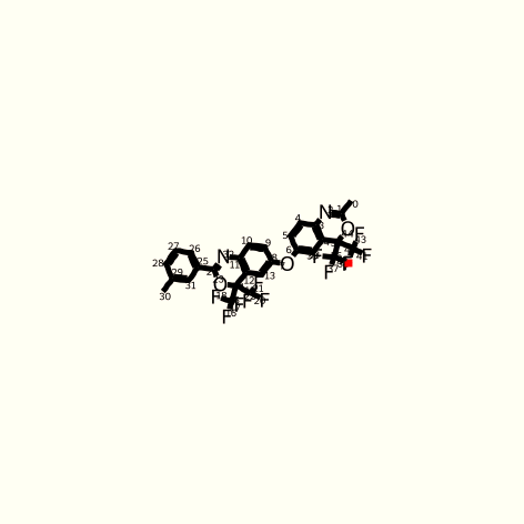 CC1=Nc2ccc(Oc3ccc4c(c3)C(C(F)(F)F)(C(F)(F)F)OC(c3cccc(C)c3)=N4)cc2C(C(F)(F)F)(C(F)(F)F)O1